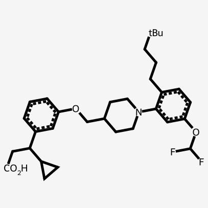 CC(C)(C)CCCc1ccc(OC(F)F)cc1N1CCC(COc2cccc(C(CC(=O)O)C3CC3)c2)CC1